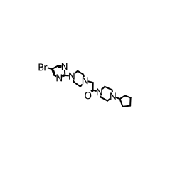 O=C(CN1CCN(c2ncc(Br)cn2)CC1)N1CCN(C2CCCC2)CC1